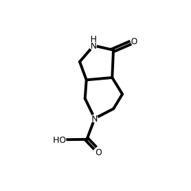 O=C1NCC2CN(C(=O)O)CCC12